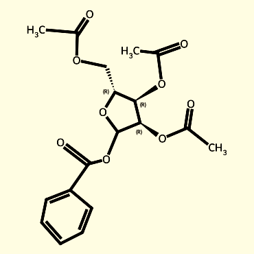 CC(=O)OC[C@H]1OC(OC(=O)c2ccccc2)[C@H](OC(C)=O)[C@@H]1OC(C)=O